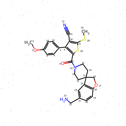 COc1ccc(-c2c(C(=O)N3CCC4(CC3)COc3ccc(CN)cc34)sc(SC)c2C#N)cc1